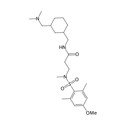 COc1cc(C)c(S(=O)(=O)N(C)CCC(=O)NCC2CCCC(CN(C)C)C2)c(C)c1